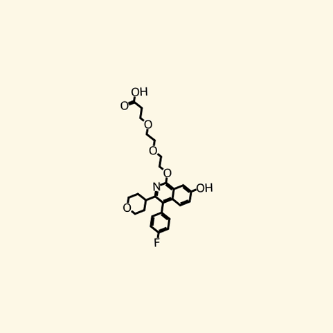 O=C(O)CCOCCOCCOc1nc(C2CCOCC2)c(-c2ccc(F)cc2)c2ccc(O)cc12